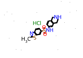 Cc1nc2ccc(S(=O)(=O)Nc3ccc4c(c3)CCNC4)cc2s1.Cl